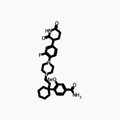 COc1cc(C(N)=O)ccc1C1(CCN2CCN(c3ccc(C4CCC(=O)NC4=O)cc3F)CC2)CCCCC1